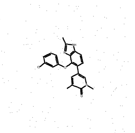 Cc1nc2c(Oc3cccc(Cl)c3)c(-c3cc(C)c(=O)n(C)c3)ccc2[nH]1